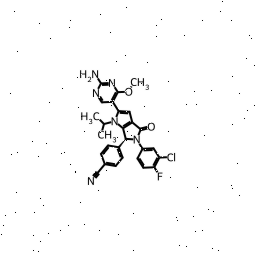 COc1nc(N)ncc1-c1cc2c(n1C(C)C)[C@H](c1ccc(C#N)cc1)N(c1ccc(F)c(Cl)c1)C2=O